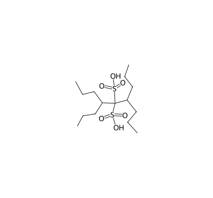 CCCC(CCC)C(C(CCC)CCC)(S(=O)(=O)O)S(=O)(=O)O